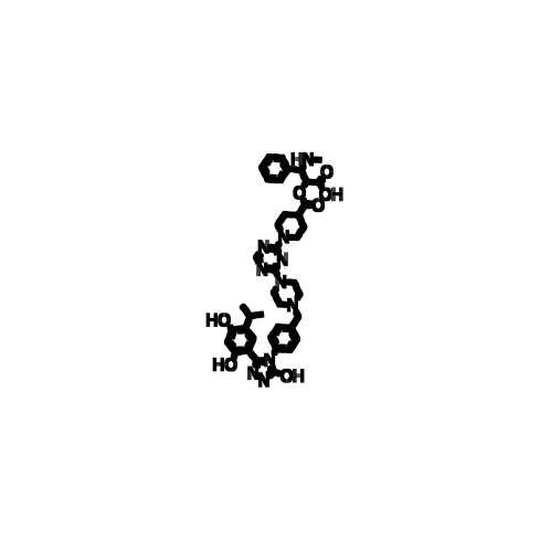 CNC(c1ccccc1)C(OC(=O)C1CCN(c2ncnc(N3CCN(Cc4ccc(-n5c(O)nnc5-c5cc(C(C)C)c(O)cc5O)cc4)CC3)n2)CC1)C(=O)O